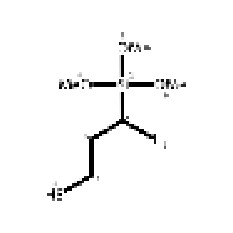 CO[Si](OC)(OC)C(I)CCS